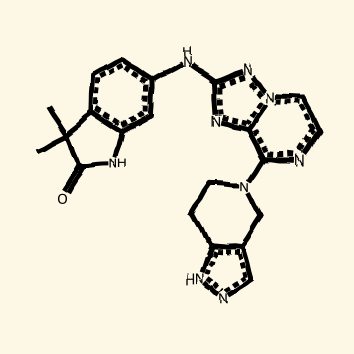 CC1(C)C(=O)Nc2cc(Nc3nc4c(N5CCc6[nH]ncc6C5)nccn4n3)ccc21